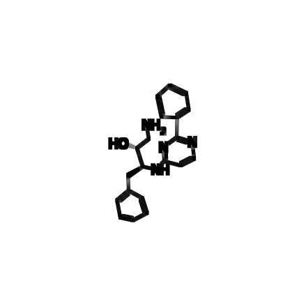 NC[C@@H](O)[C@H](Cc1ccccc1)Nc1ccnc(-c2ccccc2)n1